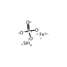 O=P([O-])([O-])[O-].[Fe+3].[SiH4]